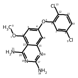 COc1cc(Oc2cc(Cl)ccc2Cl)cc2nc(N)nc(N)c12